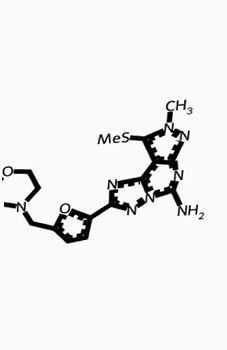 CSc1c2c(nc(N)n3nc(-c4ccc(CN5CCOCC5)o4)nc23)nn1C